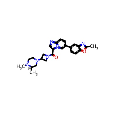 Cc1nc2cc(-c3ccc4ncc(C(=O)N5CC(N6CCN(C)[C@H](C)C6)C5)n4c3)ccc2o1